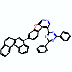 c1ccc(-c2nc(-c3ccccc3)nc(-c3cncc4oc5cc(-c6cc7ccc8ccccc8c7c7ccccc67)ccc5c34)n2)cc1